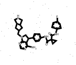 Nc1ncnc2c1C(c1ccc(NC(=O)C3(C(=O)Nc4ccc(F)cc4)CC3)cc1)CN2CC1CC2CNCC2C1